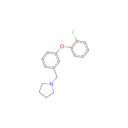 Fc1ccccc1Oc1cccc(CN2CCCC2)c1